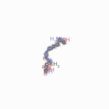 CC(Oc1cccc2c1C(=O)N(C1CCC(=O)NC1O)C2=O)c1cn(CCC(=O)N2CCN(CCCN3CCN(c4ccc(N5CCC[C@H](Oc6cc(-c7ccccc7O)nnc6N)C5)cc4)CC3)CC2)nn1